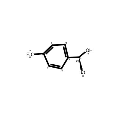 CC[C@H](O)c1ccc(C(F)(F)F)cc1